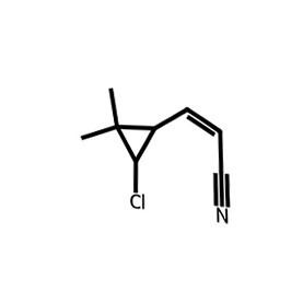 CC1(C)C(Cl)C1/C=C\C#N